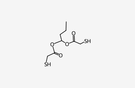 CCCC(OC(=O)CS)OC(=O)CS